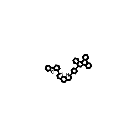 c1ccc2c(c1)oc1c(-c3ccc4ccc5ccc(-c6ccc(-c7cc8c9ccccc9c9ccccc9c8c8ccccc78)cc6)nc5c4n3)cccc12